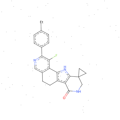 CCc1ccc(-c2ncc3c(c2F)-c2[nH]c4c(c2CC3)C(=O)NCC42CC2)cc1